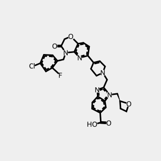 O=C(O)c1ccc2nc(CN3CC=C(c4ccc5c(n4)N(Cc4ccc(Cl)cc4F)C(=O)CO5)CC3)n(C[C@@H]3CCO3)c2c1